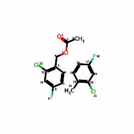 CC(=O)OCc1ccc(F)cc1Cl.Cc1ccc(F)cc1Cl